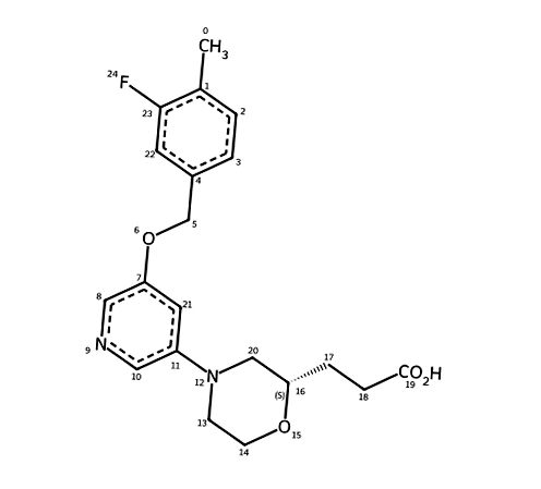 Cc1ccc(COc2cncc(N3CCO[C@@H](CCC(=O)O)C3)c2)cc1F